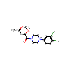 COC(CC(C)=O)C(=O)N1CCN(c2ccc(F)c(Cl)c2)CC1